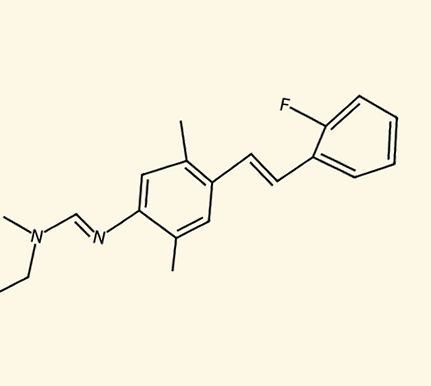 CCN(C)C=Nc1cc(C)c(C=Cc2ccccc2F)cc1C